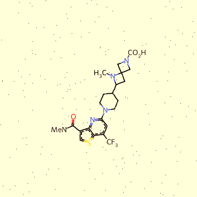 CNC(=O)c1csc2c(C(F)(F)F)cc(N3CCC(C4CC5(CN(C(=O)O)C5)N4C)CC3)nc12